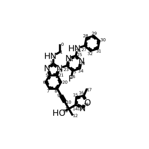 CCNc1nc2ccc(C#CC(C)(O)c3cc(C)on3)cc2n1-c1nc(Nc2ccccc2)ncc1F